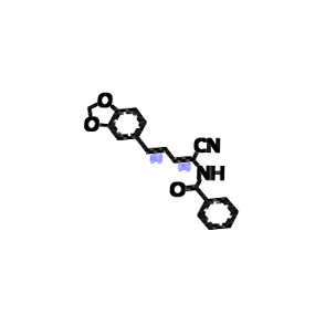 N#C/C(=C\C=C\c1ccc2c(c1)OCO2)NC(=O)c1ccccc1